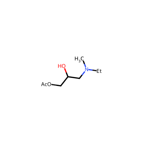 CCN(C)CC(O)COC(C)=O